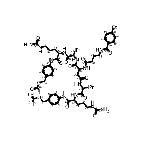 [2H]C(=O)OCc1ccc(NC(=O)C(CCCNC(N)=O)NC(=O)C(NC(=O)CC(NC(=O)CCCNC(=O)c2ccc(CC)cc2)C(=O)NC(C(=O)NC(CCCNC(N)=O)C(=O)Nc2ccc(COC([2H])=O)cc2)C(C)C)C(C)C)cc1